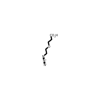 [N-]=[N+]=NCCOCCC(=O)O